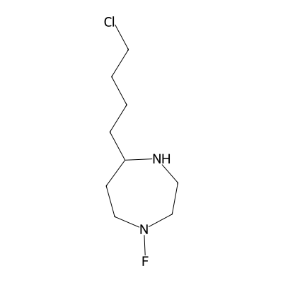 FN1CCNC(CCCCCl)CC1